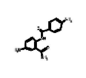 NC(=O)c1cc(N)ccc1NC(=O)c1ccc(N)cc1